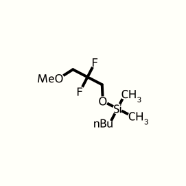 CCCC[Si](C)(C)OCC(F)(F)COC